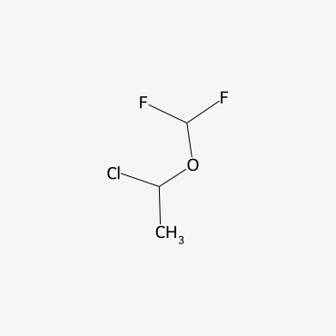 CC(Cl)OC(F)F